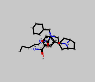 CCCCCNC(=O)N(CCN1C2CCC1CC(c1cccc(C(N)=O)c1)C2)CC1CCCCC1